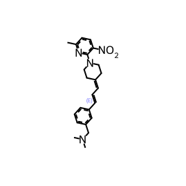 Cc1ccc([N+](=O)[O-])c(N2CCC(=C/C=C/c3cccc(CN(C)C)c3)CC2)n1